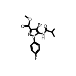 COC(=O)c1nn(-c2ccc(F)cc2)c(NC(=O)C(C)C)c1Br